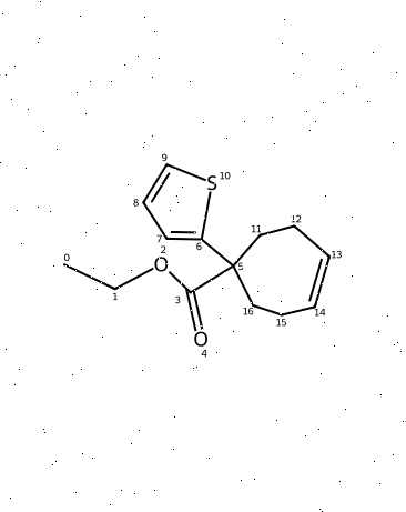 CCOC(=O)C1(c2cccs2)CCC=CCC1